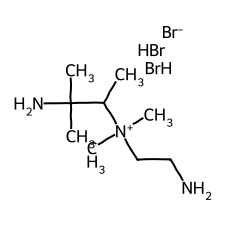 Br.Br.CC(C(C)(C)N)[N+](C)(C)CCN.[Br-]